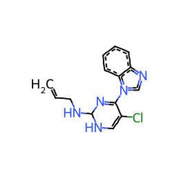 C=CCNC1N=C(n2cnc3ccccc32)C(Cl)=CN1